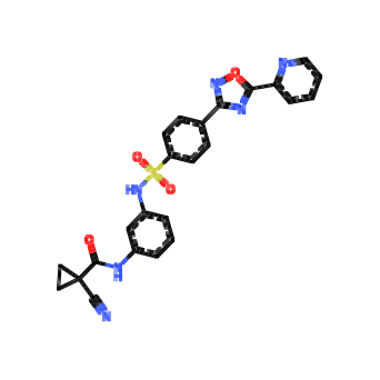 N#CC1(C(=O)Nc2cccc(NS(=O)(=O)c3ccc(-c4noc(-c5ccccn5)n4)cc3)c2)CC1